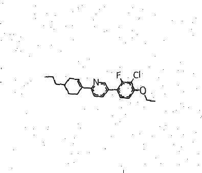 CCCC1CC=C(c2ccc(-c3ccc(OCC)c(Cl)c3F)cn2)CC1